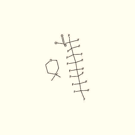 C[N+]1(C)CCOCC1.O=S(=O)([O-])C(F)(F)C(F)(F)C(F)(F)C(F)(F)C(F)(F)C(F)(F)C(F)(F)C(F)(F)F